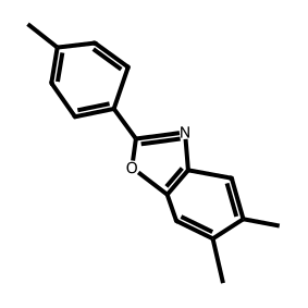 Cc1ccc(-c2nc3cc(C)c(C)cc3o2)cc1